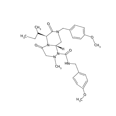 CCC(C)[C@H]1C(=O)N(Cc2ccc(OC)cc2)C[C@H]2N1C(=O)CN(C)N2C(=O)NCc1ccc(OC)cc1